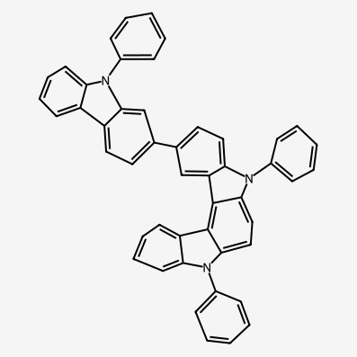 c1ccc(-n2c3ccccc3c3ccc(-c4ccc5c(c4)c4c6c7ccccc7n(-c7ccccc7)c6ccc4n5-c4ccccc4)cc32)cc1